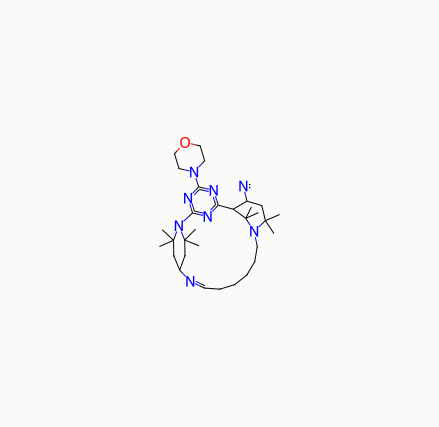 CC1(C)CC2CC(C)(C)N1c1nc(nc(N3CCOCC3)n1)C1C([N])CC(C)(C)N(CCCCC/C=N\2)C1(C)C